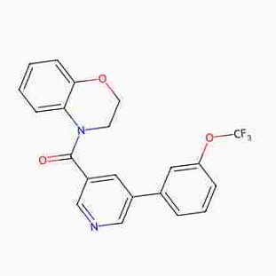 O=C(c1cncc(-c2cccc(OC(F)(F)F)c2)c1)N1CCOc2ccccc21